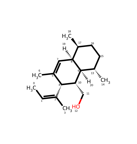 C/C=C(/C)[C@@H]1C(C)=C[C@@H]2[C@H]([C@@H]1CO)[C@@H](C)CC[C@@H]2C